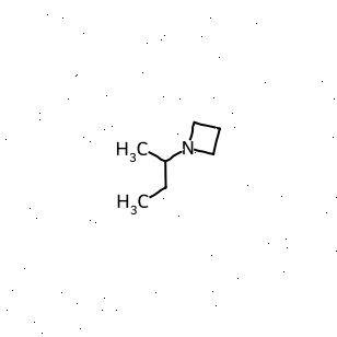 CCC(C)N1CCC1